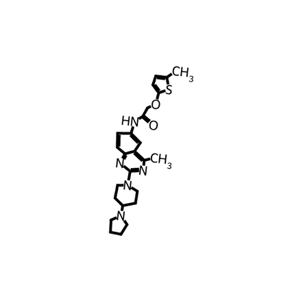 Cc1ccc(OCC(=O)Nc2ccc3nc(N4CCC(N5CCCC5)CC4)nc(C)c3c2)s1